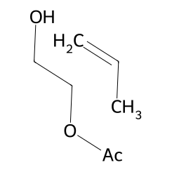 C=CC.CC(=O)OCCO